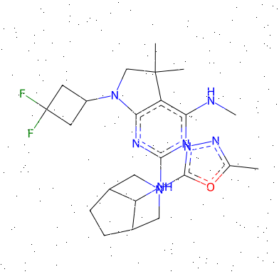 CNc1nc(NC2C3CCC2CN(c2nnc(C)o2)C3)nc2c1C(C)(C)CN2C1CC(F)(F)C1